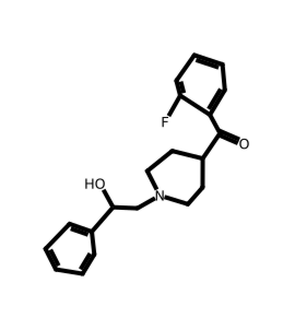 O=C(c1ccccc1F)C1CCN(CC(O)c2ccccc2)CC1